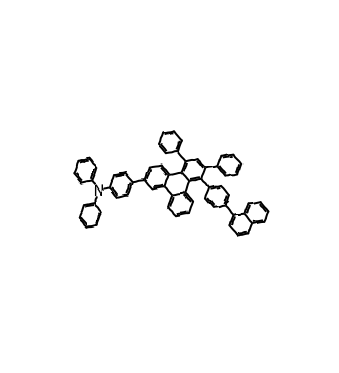 c1ccc(-c2cc(-c3ccccc3)c3c4ccc(-c5ccc(N(c6ccccc6)c6ccccc6)cc5)cc4c4ccccc4c3c2-c2ccc(-c3cccc4ccccc34)cc2)cc1